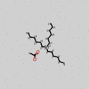 CC(=O)[O-].CCCCC[CH2][Sn+]([CH2]CCCCC)[CH2]CCCCC